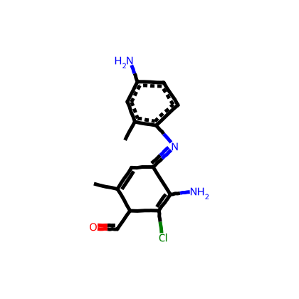 CC1=CC(=Nc2ccc(N)cc2C)C(N)=C(Cl)C1C=O